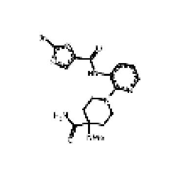 CNC1(C(N)=O)CCN(c2ncccc2NC(=O)c2csc(Br)n2)CC1